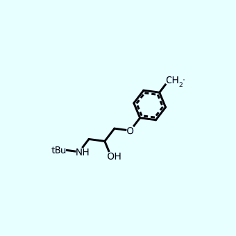 [CH2]c1ccc(OCC(O)CNC(C)(C)C)cc1